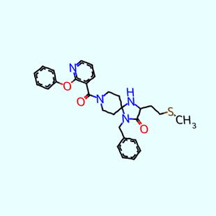 CSCCC1NC2(CCN(C(=O)c3cccnc3Oc3ccccc3)CC2)N(Cc2ccccc2)C1=O